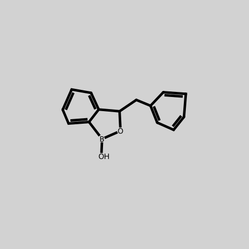 OB1OC(Cc2ccccc2)c2ccccc21